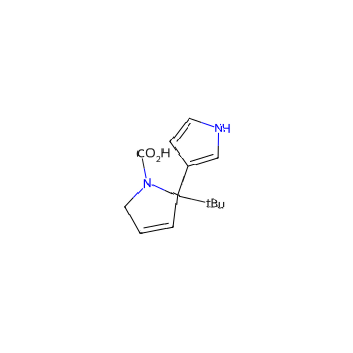 CC(C)(C)C1(c2cc[nH]c2)C=CCN1C(=O)O